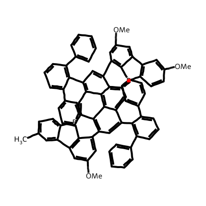 COc1ccc2c(c1)-c1cc(OC)cc3c1B2c1cc2c(-c4c(-c5ccccc5)cccc4-c4ccccc4)cc4c5c(cc6c(-c7c(-c8ccccc8)cccc7-c7ccccc7)cc-3c1c6c25)B1c2ccc(C)cc2-c2cc(OC)cc-4c21